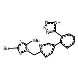 CCCCc1nc(C(C)CC)nn1Cc1ccc(-c2ccccc2-c2nnn[nH]2)cn1